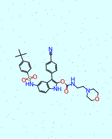 CC(C)(C)c1ccc(S(=O)(=O)Nc2ccc3[nH]c(OC(=O)NCCN4CCOCC4)c(-c4ccc(C#N)cc4)c3c2)cc1